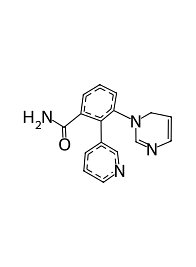 NC(=O)c1cccc(N2C=NC=CC2)c1-c1cccnc1